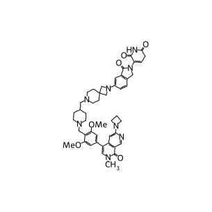 COc1cc(-c2cn(C)c(=O)c3cnc(N4CCC4)cc23)cc(OC)c1CN1CCC(CN2CCC3(CC2)CN(c2ccc4c(c2)C(=O)N(C2=CCC(=O)NC2=O)C4)C3)CC1